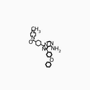 CN1CCN(C(=O)C2CCC(c3nc(-c4ccc(Oc5ccccc5)cc4)c4c(N)nccn34)CC2)CC1